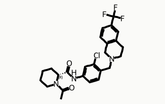 CC(=O)N1CCCC[C@@H]1C(=O)Nc1ccc(CN2CCc3cc(C(F)(F)F)ccc3C2)c(Cl)c1